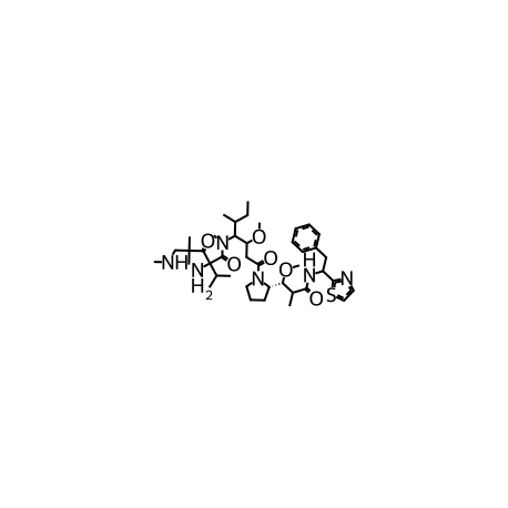 CCC(C)C(C(CC(=O)N1CCC[C@H]1C(OC)C(C)C(=O)NC(Cc1ccccc1)c1nccs1)OC)N(C)C(=O)C(N)(C(=O)C(C)(C)CNC)C(C)C